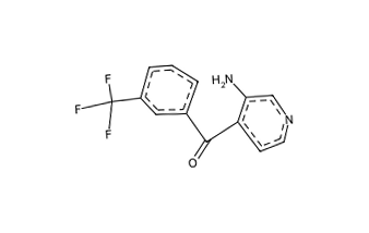 Nc1cnccc1C(=O)c1cccc(C(F)(F)F)c1